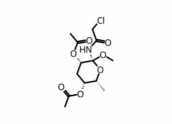 CO[C@@]1(NC(=O)CCl)O[C@H](C)[C@H](OC(C)=O)C[C@@H]1OC(C)=O